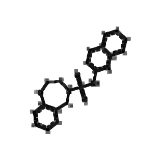 O=S(=O)(Nc1ccc2ccccc2n1)N1CCOc2ccccc2C1